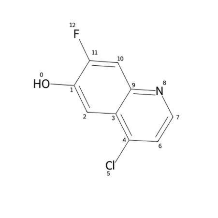 Oc1cc2c(Cl)ccnc2cc1F